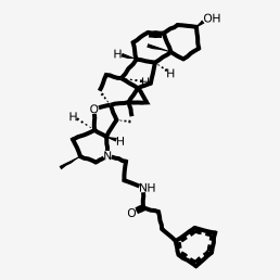 C[C@H]1C[C@H]2O[C@]3(CC[C@H]4[C@@H]5CC=C6C[C@@H](O)CC[C@]6(C)[C@H]5CC45CC53C)[C@H](C)[C@@H]2N(CCNC(=O)CCc2ccccc2)C1